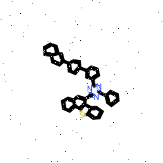 c1ccc(-c2nc(-c3cccc(-c4ccc(-c5ccc6ccccc6c5)cc4)c3)nc(-c3cc4ccccc4c4sc5ccccc5c34)n2)cc1